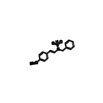 COc1ccc(C=CN(Cc2ccccc2)[SH](=O)=O)cc1